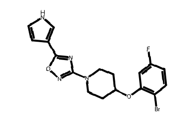 Fc1ccc(Br)c(OC2CCN(c3noc(-c4cc[nH]c4)n3)CC2)c1